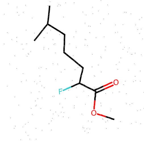 COC(=O)C(F)CCCC(C)C